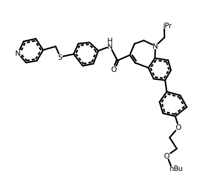 CCCCOCCOc1ccc(-c2ccc3c(c2)C=C(C(=O)Nc2ccc(SCc4ccncc4)cc2)CCN3CC(C)C)cc1